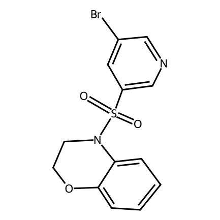 O=S(=O)(c1cncc(Br)c1)N1CCOc2ccccc21